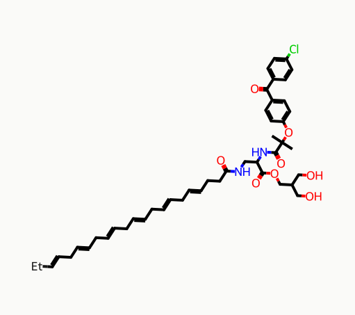 CCC=CCC=CCC=CCC=CCC=CCC=CCCC(=O)NCC(NC(=O)C(C)(C)Oc1ccc(C(=O)c2ccc(Cl)cc2)cc1)C(=O)OCC(CO)CO